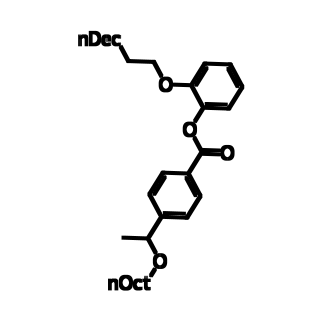 CCCCCCCCCCCCOc1ccccc1OC(=O)c1ccc(C(C)OCCCCCCCC)cc1